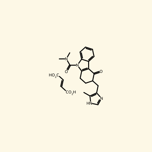 Cc1[nH]cnc1CC1CCc2c(c3ccccc3n2C(=O)N(C)C)C1=O.O=C(O)C=CC(=O)O